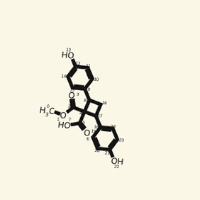 COC(=O)C1(C(=O)O)C(c2ccc(O)cc2)CC1c1ccc(O)cc1